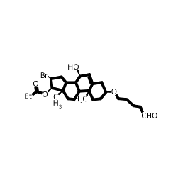 CCC(=O)O[C@H]1[C@H](Br)CC2C3C(CC[C@@]21C)[C@@]1(C)CC[C@H](OCCCCC=O)CC1=C[C@@H]3O